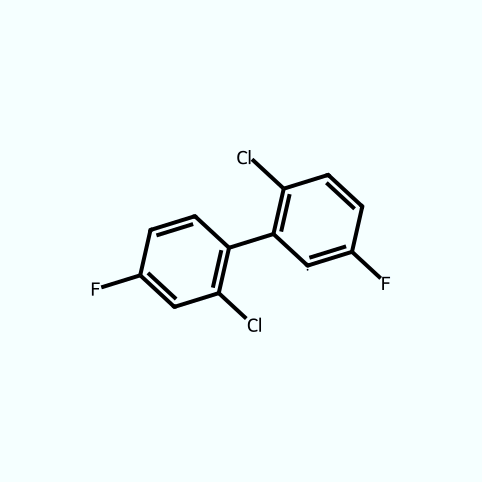 Fc1[c]c(-c2ccc(F)cc2Cl)c(Cl)cc1